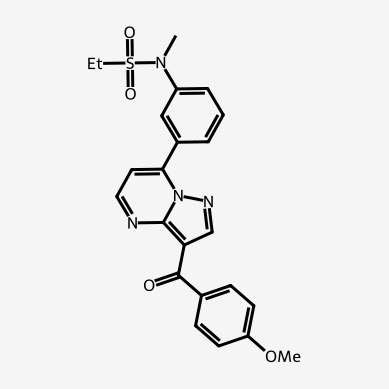 CCS(=O)(=O)N(C)c1cccc(-c2ccnc3c(C(=O)c4ccc(OC)cc4)cnn23)c1